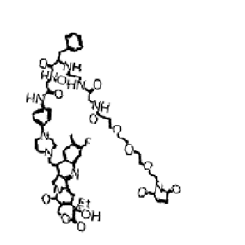 CC[C@@]1(O)C(=O)OCc2c1cc1n(c2=O)Cc2c-1nc1cc(F)c(C)cc1c2CN1CCN(c2ccc(NC(=O)CNC(=O)C(Cc3ccccc3)NC(=O)CNC(=O)CNC(=O)CCOCCOCCOCCN3C(=O)C=CC3=O)cc2)CC1